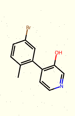 Cc1ccc(Br)cc1-c1ccncc1O